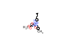 COC(=O)[C@@H](C)Cn1c(=O)[nH]/c(=N\c2ccc(CCC3CC3)cc2)n(Cc2ccc(C)cc2)c1=O